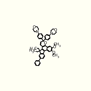 CCC1(CC)c2cc(-c3ccccc3)ccc2-c2c1c1c(c3cc(OC)c(OC)cc23)OC(c2ccc(N3CCOCC3)cc2)(c2ccc(N3CCOCC3)cc2)C=C1